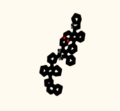 c1ccc(-c2nc(-c3cccc(-c4c5ccccc5c(-c5ccc6ccc7ccccc7c6c5)c5ccccc45)c3)nc(-c3ccccc3)c2-c2cccc(-c3c4ccccc4c(-c4cc5ccccc5s4)c4ccccc34)c2)cc1